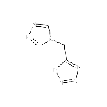 [c]1nnnn1Cc1nnn[nH]1